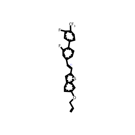 C=CCOc1ccc2cc(/C=C/c3ccc(-c4ccc(C(F)(F)F)c(F)c4)c(F)c3)sc2c1